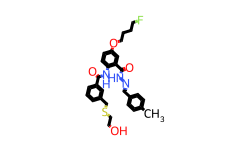 Cc1ccc(C=NNC(=O)c2cc(OCCCCF)ccc2NC(=O)c2cccc(CSCCO)c2)cc1